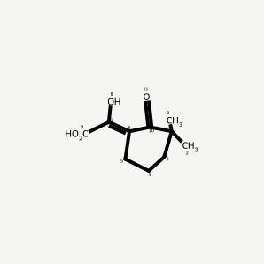 CC1(C)CCC/C(=C(/O)C(=O)O)C1=O